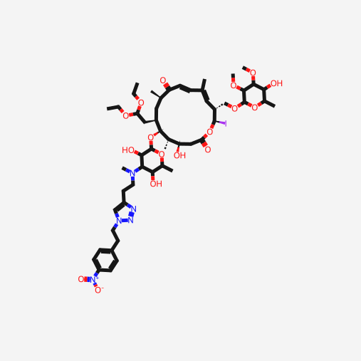 CCOC(C[C@H]1C[C@@H](C)C(=O)/C=C/C(C)=C/[C@H](COC2OC(C)C(O)C(OC)C2OC)[C@@H](I)OC(=O)C[C@@H](O)[C@H](C)[C@H]1OC1OC(C)C(O)C(N(C)CCc2cn(CCc3ccc([N+](=O)[O-])cc3)nn2)C1O)OCC